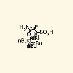 C=C(C(N)=O)C(CC)S(=O)(=O)O.CCCC[PH](CCCC)(CCCC)CCCC